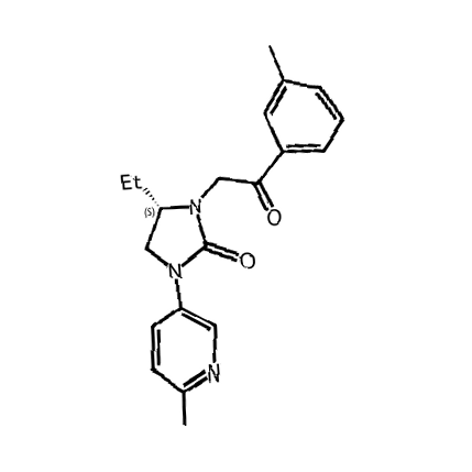 CC[C@H]1CN(c2ccc(C)nc2)C(=O)N1CC(=O)c1cccc(C)c1